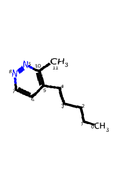 CCCCCc1ccnnc1C